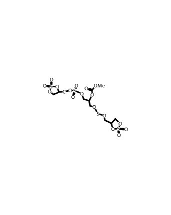 COC(=O)OC(COSOCC1COS(=O)(=O)O1)COS(=O)(=O)OCC1COS(=O)(=O)O1